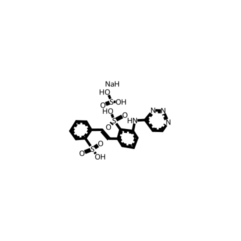 O=S(=O)(O)c1ccccc1/C=C/c1cccc(Nc2ccnnn2)c1S(=O)(=O)O.O=S(O)O.[NaH]